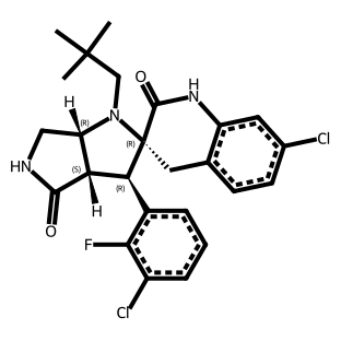 CC(C)(C)CN1[C@H]2CNC(=O)[C@H]2[C@H](c2cccc(Cl)c2F)[C@@]12Cc1ccc(Cl)cc1NC2=O